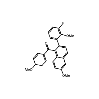 COc1ccc2c(C(=O)C3=CCC(OC)C=C3)c(-c3cccc(F)c3OC)ccc2c1